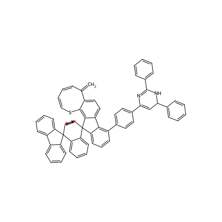 C=C1/C=C\C=C/Sc2c1ccc1c2C2(c3ccccc3C3(c4ccccc4-c4ccccc43)c3ccccc32)c2cccc(-c3ccc(C4=CC(c5ccccc5)NC(c5ccccc5)=N4)cc3)c2-1